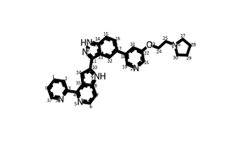 c1ccc(-c2nccc3[nH]c(-c4n[nH]c5ccc(-c6cncc(OCCN7CCCC7)c6)cc45)cc23)nc1